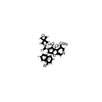 COc1cncc2c1[C@]1(O)[C@H](O)[C@H](C(=O)N3CC4(COC4)C3)[C@@H](c3ccccc3)[C@]1(c1ccc(Br)cc1)O2